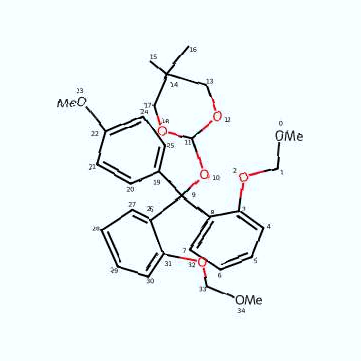 COCOc1ccccc1C(OC1OCC(C)(C)CO1)(c1ccc(OC)cc1)c1ccccc1OCOC